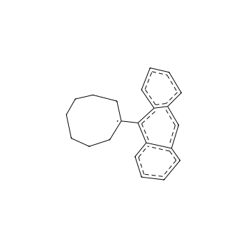 c1ccc2c([C]3CCCCCCC3)c3ccccc3cc2c1